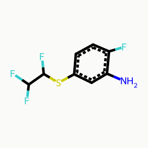 Nc1cc(SC(F)C(F)F)ccc1F